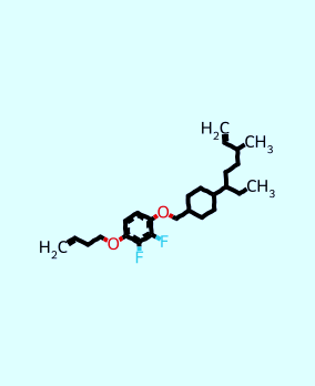 C=CCCOc1ccc(OCC2CCC(C(CC)CCC(C)C=C)CC2)c(F)c1F